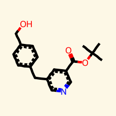 CC(C)(C)OC(=O)c1cncc(Cc2ccc(CO)cc2)c1